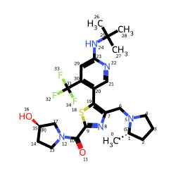 C[C@H]1CCCN1Cc1nc(C(=O)N2CC[C@@H](O)C2)sc1-c1cnc(NC(C)(C)C)cc1C(F)(F)F